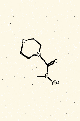 CCCCN(C)C(=O)N1CCOCC1